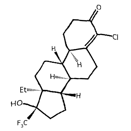 CC[C@]12CC[C@H]3[C@@H](CCC4=C(Cl)C(=O)CC[C@@H]43)[C@@H]1CC[C@@]2(O)C(F)(F)F